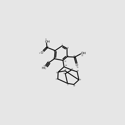 C#Cc1c(C(=O)O)ccc(C(=O)O)c1C1C2CC3CC(C2)CC1C3